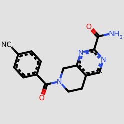 N#Cc1ccc(C(=O)N2CCc3[c]nc(C(N)=O)nc3C2)cc1